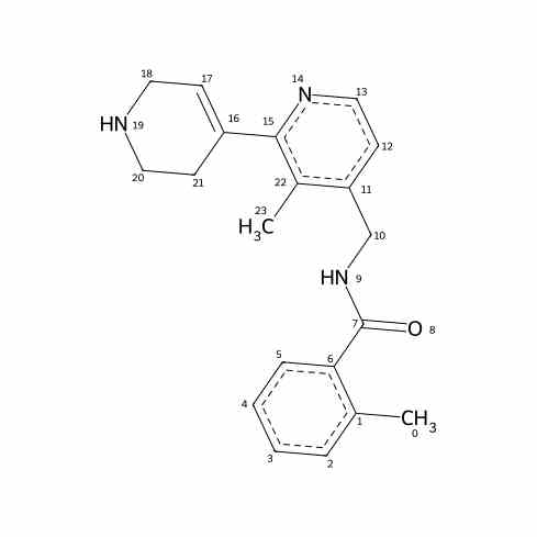 Cc1ccccc1C(=O)NCc1ccnc(C2=CCNCC2)c1C